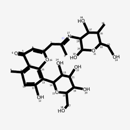 C/C(Cc1cc(=O)c2c(C)cc(O)c(C3OC(CO)C(O)C(O)C3O)c2o1)=N\C1C(O)OC(CO)C(C)C1O